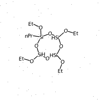 CCC[Si]1(OCC)O[SiH](OCC)O[SiH](OCC)O[SiH](OCC)O1